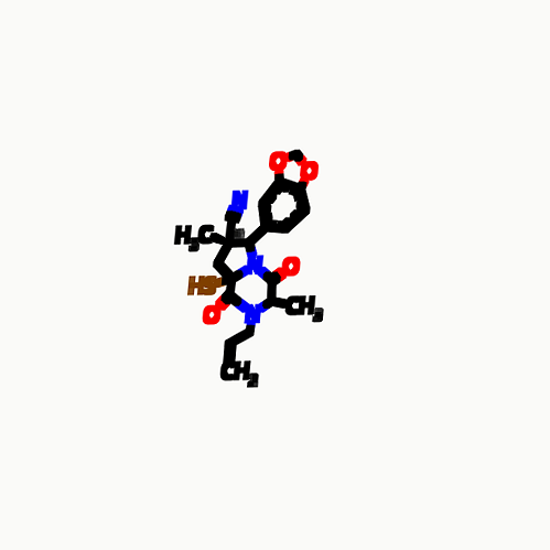 C=CCN1C(=O)C2(S)C[C@](C)(C#N)C(c3ccc4c(c3)OCO4)N2C(=O)C1C